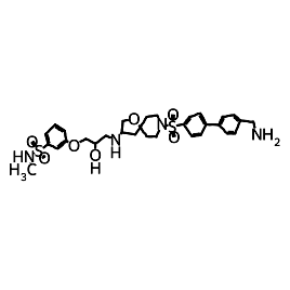 CNS(=O)(=O)c1cccc(OCC(O)CNC2COC3(CCN(S(=O)(=O)c4ccc(-c5ccc(CN)cc5)cc4)CC3)C2)c1